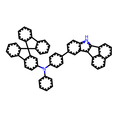 c1ccc(N(c2ccc(-c3ccc4[nH]c5c(c4c3)-c3cccc4cccc-5c34)cc2)c2ccc3c(c2)C2(c4ccccc4-c4ccccc42)c2ccccc2-3)cc1